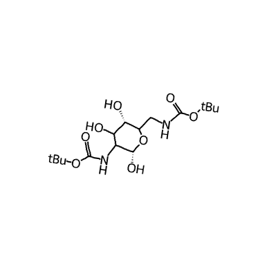 CC(C)(C)OC(=O)NCC1O[C@H](O)C(NC(=O)OC(C)(C)C)C(O)[C@@H]1O